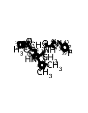 Cc1cc(C)cc(-c2[nH]c3sc(C(C)(C)C(=O)N4C5CCC4CC5)cc3c2[C@H](C)CNC(=O)C2CN(Cc3ccc(F)cc3)C2)c1